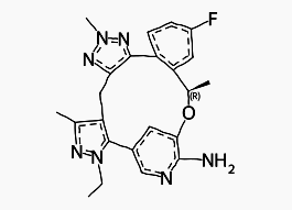 CCn1nc(C)c2c1-c1cnc(N)c(c1)O[C@H](C)c1cc(F)ccc1-c1nn(C)nc1C2